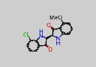 COc1cccc2c1C(=O)C(=C1Nc3c(Cl)cccc3C1=O)N2